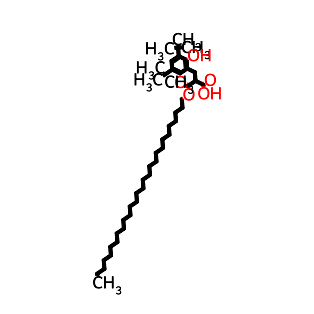 CCCCCCCCCCCCCCCCCCCCCCCCCCCCOC(=O)C(Cc1cc(C(C)(C)C)cc(C(C)(C)C)c1O)C(=O)O